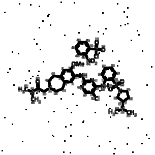 COc1cc2c(cc1Nc1ncc(Cl)c(Nc3ccccc3S(=O)(=O)N3CC[C@@H](N(C)C)C3)n1)CCN(CC(=O)N(C)C)CC2.O=[N+]([O-])c1ccccc1S(=O)(=O)Cl